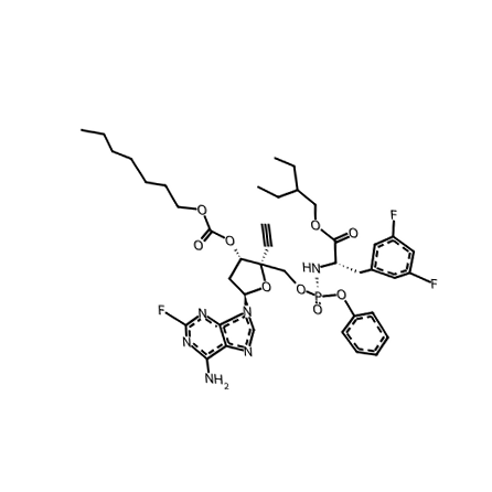 C#C[C@]1(CO[P@@](=O)(N[C@@H](Cc2cc(F)cc(F)c2)C(=O)OCC(CC)CC)Oc2ccccc2)O[C@@H](n2cnc3c(N)nc(F)nc32)C[C@@H]1OC(=O)OCCCCCCC